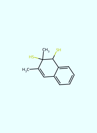 CC1=Cc2ccccc2C(S)C1(C)S